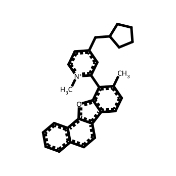 Cc1ccc2c(oc3c4ccccc4ccc23)c1-c1cc(CC2CCCC2)cc[n+]1C